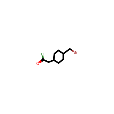 O=C(Cl)CC1CCC(CBr)CC1